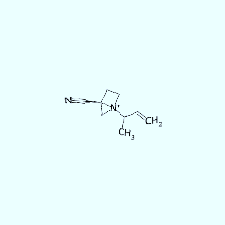 C=CC(C)[N+]12CC[C@@]1(C#N)C2